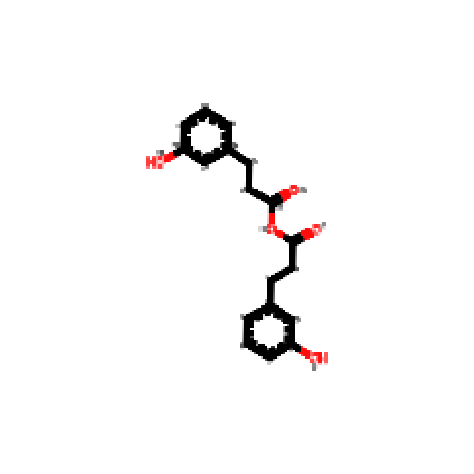 O=C(CCc1cccc(O)c1)OC(=O)CCc1cccc(O)c1